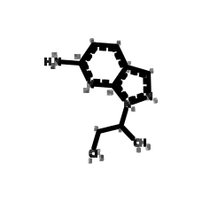 CC(CC(F)(F)F)n1ncc2ccc(N)nc21